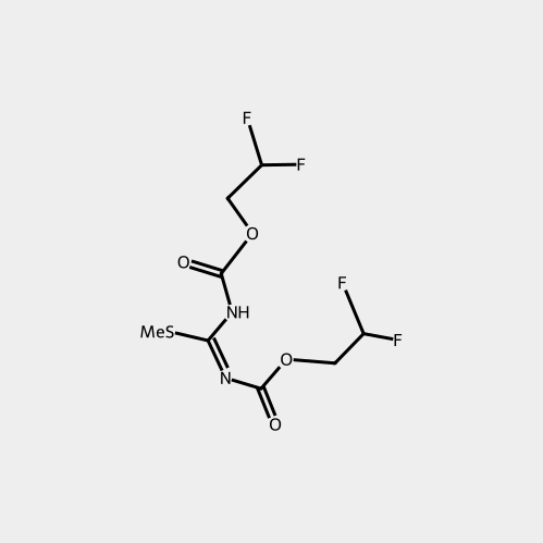 CSC(=NC(=O)OCC(F)F)NC(=O)OCC(F)F